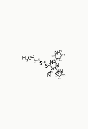 CCCCSCSc1nc(-c2cccnc2)nc(-c2nccs2)c1C#N